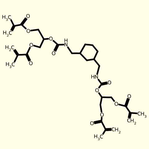 C=C(C)C(=O)OCC(COC(=O)C(=C)C)OC(=O)NCC1CCCC(CNC(=O)OC(COC(=O)C(=C)C)COC(=O)C(=C)C)C1